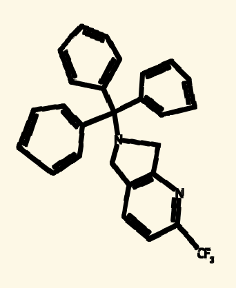 FC(F)(F)c1ccc2c(n1)CN(C(c1ccccc1)(c1ccccc1)c1ccccc1)C2